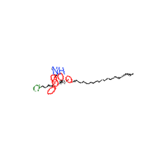 CCCCCCCCCCCCCCCCCCOC[C@H](COC(=O)CCCCl)OC(=O)NC